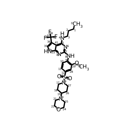 CCCCNc1nc(Nc2ccc(S(=O)(=O)N3CCC(N4CCOCC4)CC3)cc2OC)nc2[nH]cc(C(F)(F)F)c12